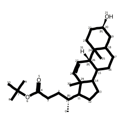 C[C@H](CCC(=O)OC(C)(C)C)C1CCC2C3CCC4C[C@H](O)CCC4(C)[C@H]3C=CC21C